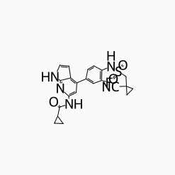 N#CC1(CS(=O)(=O)Nc2ccc(-c3cc(NC(=O)C4CC4)nc4[nH]ccc34)cc2F)CC1